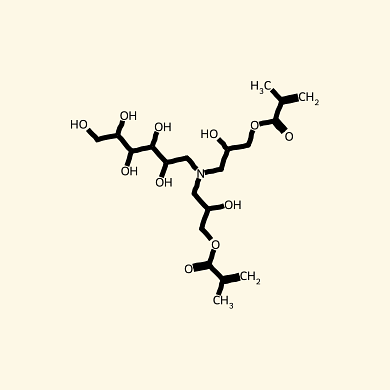 C=C(C)C(=O)OCC(O)CN(CC(O)COC(=O)C(=C)C)CC(O)C(O)C(O)C(O)CO